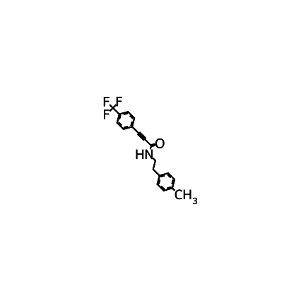 Cc1ccc(CCNC(=O)C#Cc2ccc(C(F)(F)F)cc2)cc1